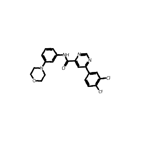 O=C(Nc1cccc(N2CCOCC2)c1)c1cc(-c2ccc(Cl)c(Cl)c2)ncn1